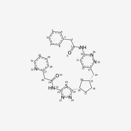 O=C(Cc1ccccc1)Nc1ccc(C[C@@H]2CC[C@H](c3nnc(NC(=O)Cc4ccccn4)s3)C2)nn1